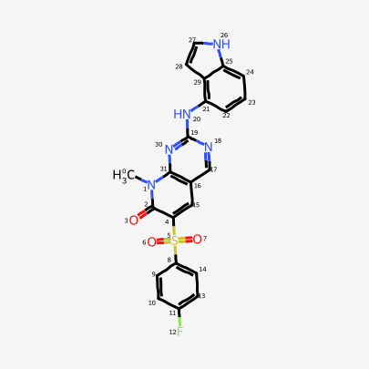 Cn1c(=O)c(S(=O)(=O)c2ccc(F)cc2)cc2cnc(Nc3cccc4[nH]ccc34)nc21